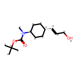 CN(C(=O)OC(C)(C)C)[C@H]1CC[C@H](/C=C/CO)CC1